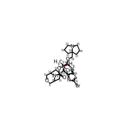 CC(C)(C)OC(=O)N1C2COCC1CN(c1nc(OCC34CCCN3CCC4)nc3sc(Br)nc13)C2